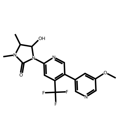 COc1cncc(-c2cnc(N3C(=O)N(C)C(C)C3O)cc2C(F)(F)F)c1